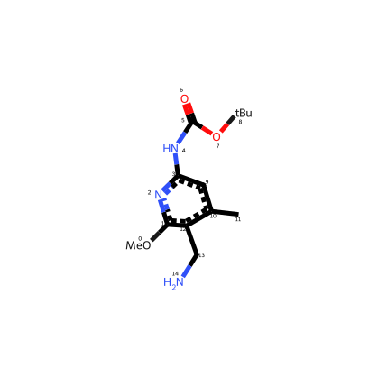 COc1nc(NC(=O)OC(C)(C)C)cc(C)c1CN